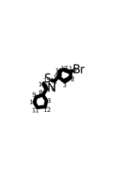 Brc1ccc(-c2nc(C3CCCCC3)cs2)cc1